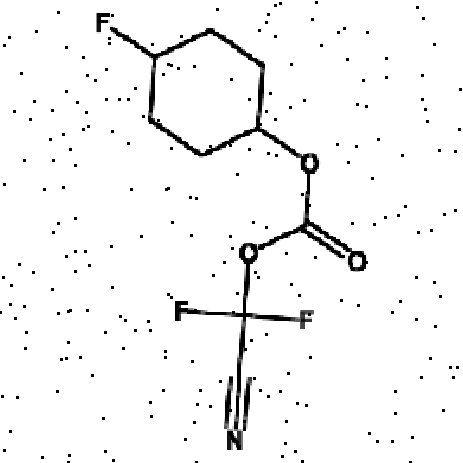 N#CC(F)(F)OC(=O)OC1CCC(F)CC1